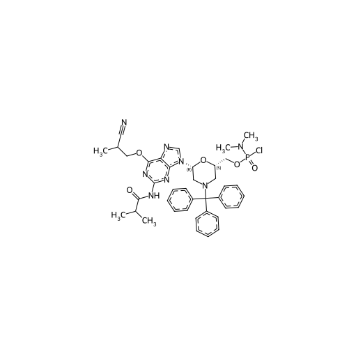 CC(C#N)COc1nc(NC(=O)C(C)C)nc2c1ncn2[C@H]1CN(C(c2ccccc2)(c2ccccc2)c2ccccc2)C[C@@H](COP(=O)(Cl)N(C)C)O1